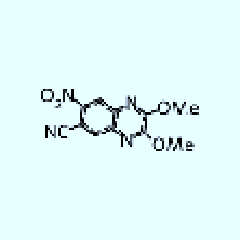 COc1nc2cc(C#N)c([N+](=O)[O-])cc2nc1OC